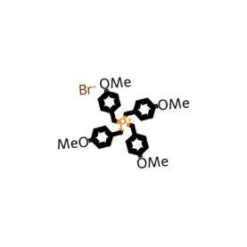 COc1ccc(C[P+](Cc2ccc(OC)cc2)(Cc2ccc(OC)cc2)Cc2ccc(OC)cc2)cc1.[Br-]